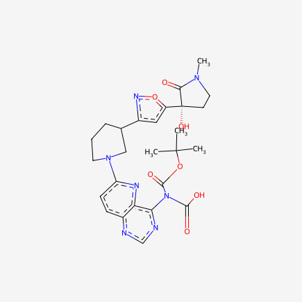 CN1CC[C@@](O)(c2cc(C3CCCN(c4ccc5ncnc(N(C(=O)O)C(=O)OC(C)(C)C)c5n4)C3)no2)C1=O